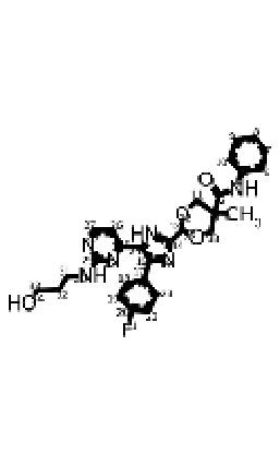 CC1(C(=O)Nc2ccccc2)COC(c2nc(-c3ccc(F)cc3)c(-c3ccnc(NCCCO)n3)[nH]2)OC1